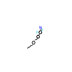 CCCCC[C@H]1CC[C@H](CCc2ccc(C3C=CC(F)(C#N)C=C3F)cc2)CC1